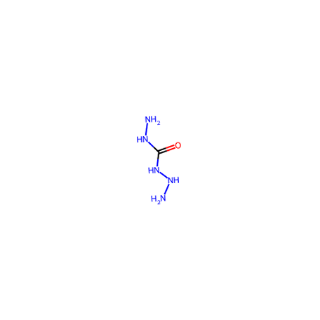 NNNC(=O)NN